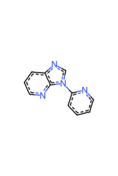 c1ccc(-n2cnc3cccnc32)nc1